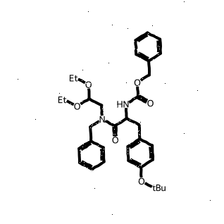 CCOC(CN(Cc1ccccc1)C(=O)C(Cc1ccc(OC(C)(C)C)cc1)NC(=O)OCc1ccccc1)OCC